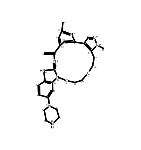 C=C1/N=C2\Nc3ccc(N4CCNCC4)cc3N2CCCCCCc2c(cnn2C)-c2cc1cc(C)n2